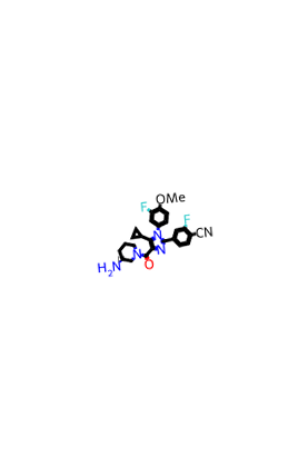 COc1ccc(-n2c(-c3ccc(C#N)c(F)c3)nc(C(=O)N3CCC[C@H](N)C3)c2C2CC2)cc1F